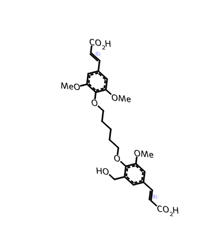 COc1cc(/C=C/C(=O)O)cc(CO)c1OCCCCCOc1c(OC)cc(/C=C/C(=O)O)cc1OC